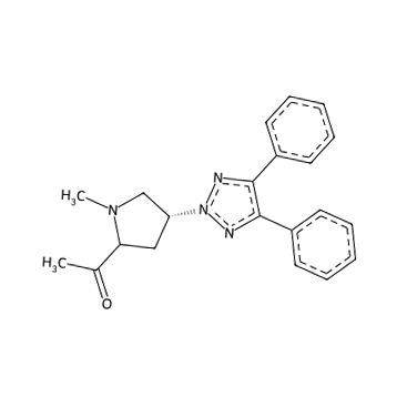 CC(=O)C1C[C@@H](n2nc(-c3ccccc3)c(-c3ccccc3)n2)CN1C